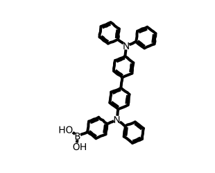 OB(O)c1ccc(N(c2ccccc2)c2ccc(-c3ccc(N(c4ccccc4)c4ccccc4)cc3)cc2)cc1